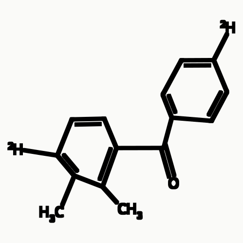 [2H]c1ccc(C(=O)c2ccc([2H])c(C)c2C)cc1